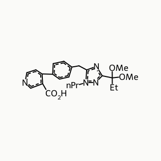 CCCn1nc(C(CC)(OC)OC)nc1Cc1ccc(-c2ccncc2C(=O)O)cc1